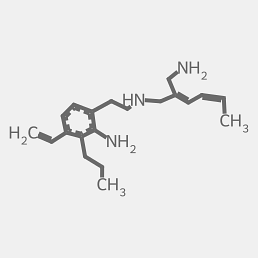 C=Cc1ccc(CCNC/C(=C/C=C\C)CN)c(N)c1CCC